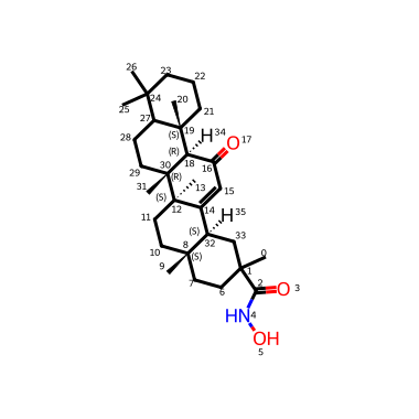 CC1(C(=O)NO)CC[C@]2(C)CC[C@]3(C)C(=CC(=O)[C@@H]4[C@@]5(C)CCCC(C)(C)C5CC[C@]43C)[C@H]2C1